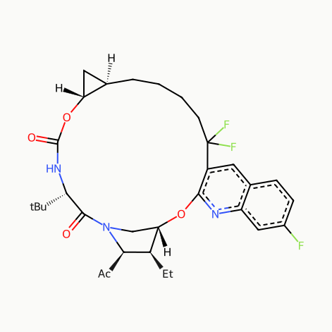 CC[C@@H]1[C@@H]2CN(C(=O)[C@H](C(C)(C)C)NC(=O)O[C@@H]3C[C@H]3CCCCC(F)(F)c3cc4ccc(F)cc4nc3O2)[C@@H]1C(C)=O